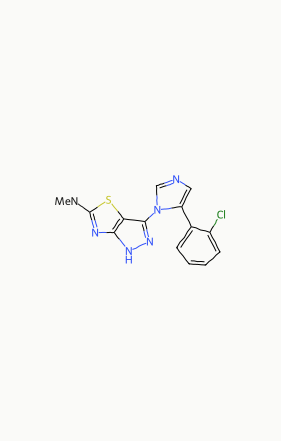 CNc1nc2[nH]nc(-n3cncc3-c3ccccc3Cl)c2s1